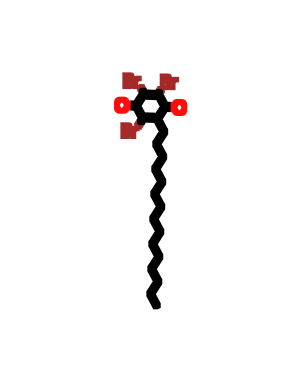 CCCCCCCCCCCCCCCC1=C(Br)C(=O)C(Br)=C(Br)C1=O